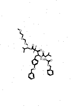 COCCOCOC[C@H](NC(=O)C(F)(F)C(=O)C(Cc1ccc(OCc2ccccc2)cc1)NC(=O)[C@@H](NC(=O)OCc1ccccc1)C(C)C)C(C)C